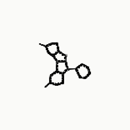 Cc1ccc2nc3n(-c4ccccc4)c4ccc(C)cc4n3c2c1